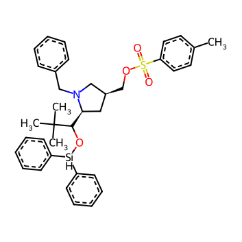 Cc1ccc(S(=O)(=O)OC[C@H]2C[C@@H](C(O[SiH](c3ccccc3)c3ccccc3)C(C)(C)C)N(Cc3ccccc3)C2)cc1